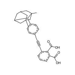 CC12CC3CC(C1)C(c1ccc(C#Cc4cccc(C(=O)O)c4C(=O)O)cc1)C(C)(C3)C2